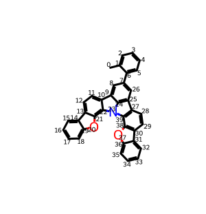 Cc1ccccc1-c1cc2c3ccc4c5ccccc5oc4c3n3c2c(c1)c1ccc2c4ccccc4oc2c13